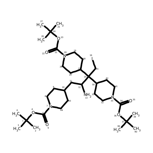 CC(C)(C)OC(=O)N1CCC(CC(N)C(CI)(C2CCN(C(=O)OC(C)(C)C)CC2)C2CCN(C(=O)OC(C)(C)C)CC2)CC1